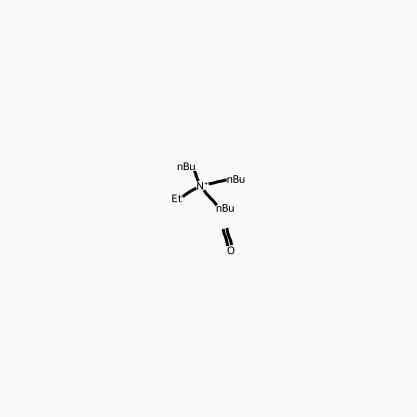 C=O.CCCC[N+](CC)(CCCC)CCCC